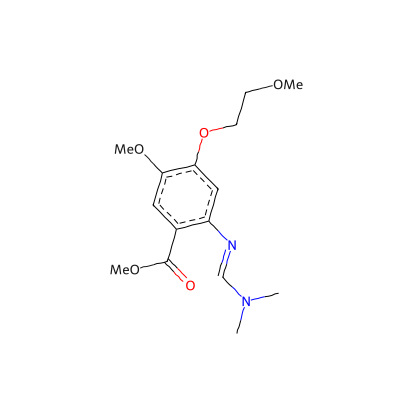 COCCOc1cc(N=CN(C)C)c(C(=O)OC)cc1OC